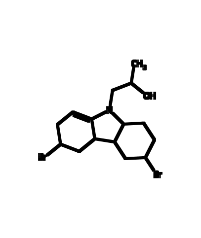 CC(O)CN1C2=CCC(Br)CC2C2CC(Br)CCC21